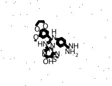 COc1cc(C(Nc2ccc(C(=N)N)cc2)c2nn(-c3ncsc3C(=O)O)c(=O)[nH]2)cc2c1OCCCO2